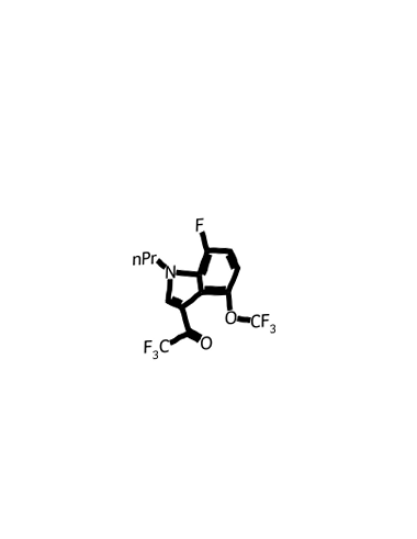 CCCn1cc(C(=O)C(F)(F)F)c2c(OC(F)(F)F)ccc(F)c21